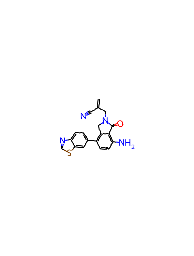 C=C(C#N)CN1Cc2c(-c3ccc4ncsc4c3)ccc(N)c2C1=O